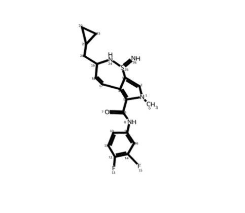 Cn1cc2c(c1C(=O)Nc1ccc(F)c(F)c1)C=CC(CC1CC1)NS2=N